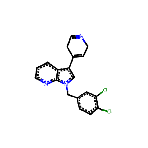 Clc1ccc(Cn2cc(C3=CCN=CC3)c3cccnc32)cc1Cl